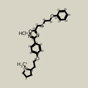 CN1CCCC1CCOc1ccc(-c2noc(CSCCOc3ccccc3)n2)cc1.Cl